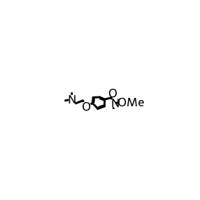 CON(C)C(=O)c1ccc(OCCN(C)C)cc1